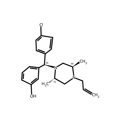 C=CCN1C[C@H](C)N([C@H](c2ccc(Cl)cc2)c2cccc(O)c2)C[C@H]1C